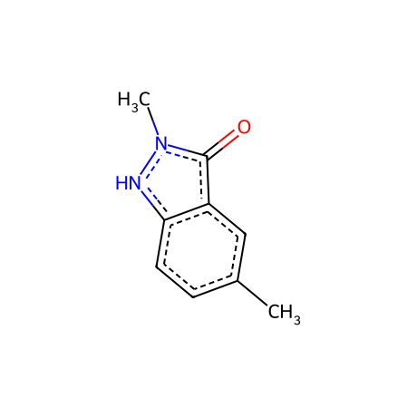 Cc1ccc2[nH]n(C)c(=O)c2c1